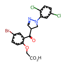 O=C(O)COc1ccc(Br)cc1C(=O)C1C=NN(c2cc(Cl)ccc2Cl)C1